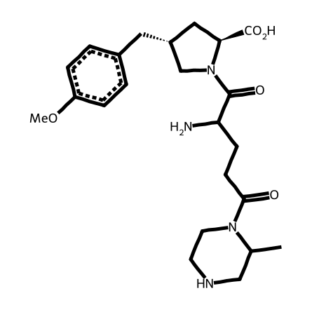 COc1ccc(C[C@@H]2C[C@@H](C(=O)O)N(C(=O)C(N)CCC(=O)N3CCNCC3C)C2)cc1